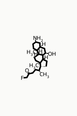 C[C@H](CCC(=O)CF)[C@H]1CC[C@H]2[C@@H]3[C@H](O)C[C@@H]4C[C@H](N)CC[C@]4(C)[C@H]3CC[C@]12C